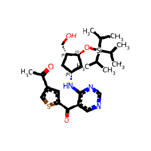 CC(=O)c1csc(C(=O)c2cncnc2N[C@@H]2C[C@H](CO)[C@@H](O[Si](C(C)C)(C(C)C)C(C)C)C2)c1